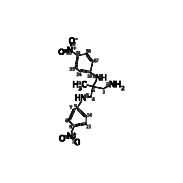 CC(CN)(CNc1ccc([N+](=O)[O-])cc1)Nc1ccc([N+](=O)[O-])cc1